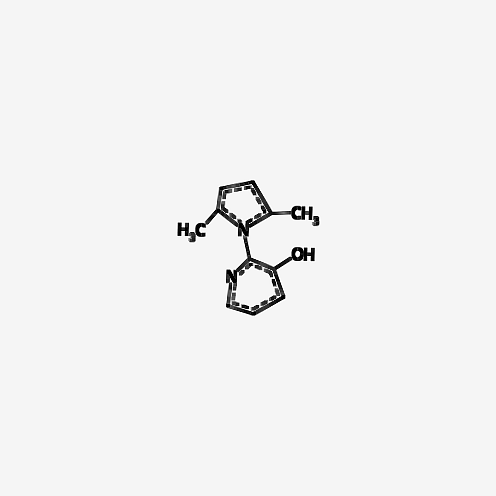 Cc1ccc(C)n1-c1ncccc1O